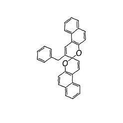 C1=CC2(Oc3ccc4ccccc4c31)Oc1ccc3ccccc3c1C=C2Cc1ccccc1